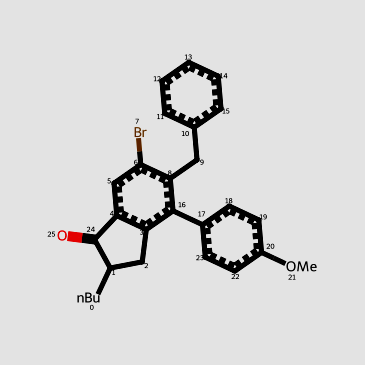 CCCCC1Cc2c(cc(Br)c(Cc3ccccc3)c2-c2ccc(OC)cc2)C1=O